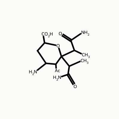 CC(=O)C1C(N)CC(C(=O)O)OC1(C(C)C(N)=O)C(C)C(N)=O